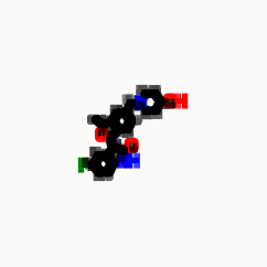 CC1O/C(=C2/C(=O)Nc3ccc(F)cc32)c2ccc(CN3CCC(O)CC3)cc21